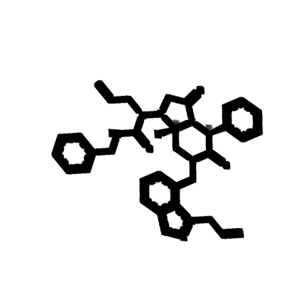 C=CCN(C(=O)NCc1ccccc1)N1CC(=O)N2[C@@H](c3ccccc3)C(=O)N(Cc3cccc4cnn(CC=C)c34)C[C@@H]21